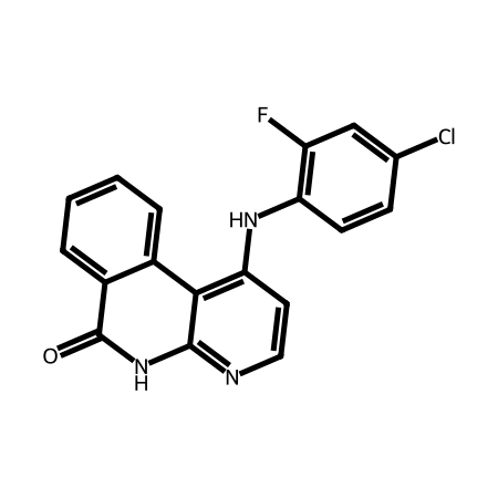 O=c1[nH]c2nccc(Nc3ccc(Cl)cc3F)c2c2ccccc12